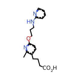 Cc1nc(OCCCNc2ccccn2)ccc1CCCC(=O)O